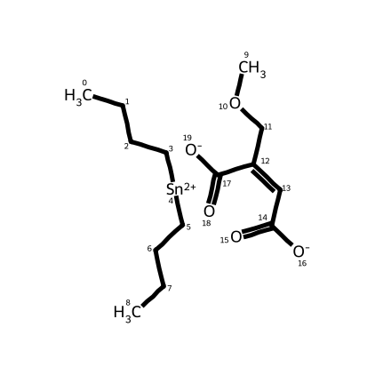 CCC[CH2][Sn+2][CH2]CCC.COC/C(=C/C(=O)[O-])C(=O)[O-]